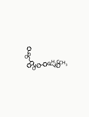 CC1(C)CCCN(CCCOc2ccc(C3=CCN(C(=O)c4ccc(CCC(=O)OCc5ccccc5)c5ccccc45)CC3)cc2)C1